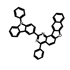 c1ccc(-c2nc(-c3ccc4c(c3)c3ccccc3n4-c3ccccc3)nc3c2ccc2oc4cc5ccccc5cc4c23)cc1